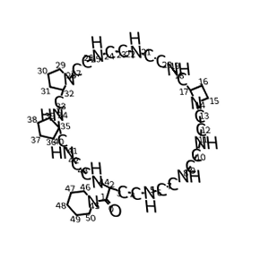 O=C(C1CCNCCNCCNCCN2CCC2CNCCNCCNCCN2CCCC2CNC2(CCCC2)CNCCN1)N1CCCCC1